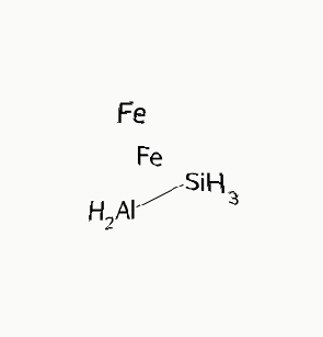 [AlH2][SiH3].[Fe].[Fe]